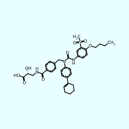 CCCCOc1ccc(NC(=O)N(Cc2ccc(C(=O)NC[C@@H](O)C(=O)O)cc2)c2ccc(C3=CCCCC3)cc2)cc1S(C)(=O)=O